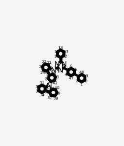 c1ccc(-c2ccc(-c3nc(-c4ccccc4)nc(-n4c5ccccc5c5cc(-n6c7ccccc7c7ccccc76)ccc54)n3)cc2)cc1